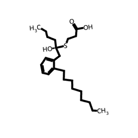 CCCCCCCCCc1ccccc1C[C@](O)(CCCC)SCCC(=O)O